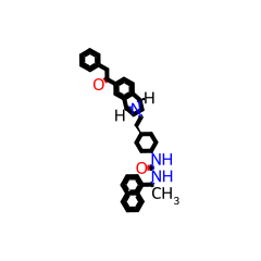 C[C@H](NC(=O)N[C@H]1CC[C@H](CCN2[C@@H]3CC[C@H]2c2ccc(C(=O)Cc4ccccc4)cc23)CC1)c1cccc2ccccc12